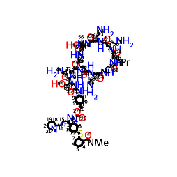 CNC(=O)c1ccccc1Sc1ccc2c(/C=C/c3ccccn3)nn(C(=O)OCc3ccc(NC(=O)NC(C(=O)N[C@H](CCN)C(=O)N[C@@H]4CCNC(=O)[C@H]([C@@H](C)O)NC(=O)[C@H](CCN)NC(=O)[C@H](CCN)NC(=O)[C@H](CC(C)C)NC(=O)CNC(=O)[C@H](CCN)NC4=O)[C@H](C)O)cc3)c2c1